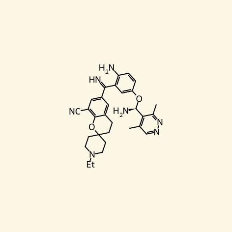 CCN1CCC2(CCc3cc(C(=N)c4cc(O[C@H](N)c5c(C)cnnc5C)ccc4N)cc(C#N)c3O2)CC1